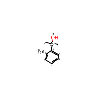 C[Si](C)(O)c1ccccc1.[Na]